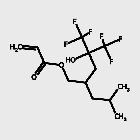 C=CC(=O)OCC(CC(C)C)CC(O)(C(F)(F)F)C(F)(F)F